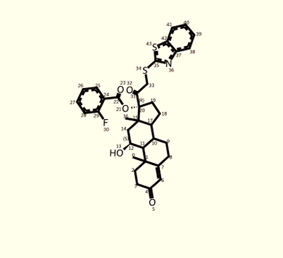 CC12CCC(=O)C=C1CCC1C2[C@@H](O)CC2(C)C1CC[C@]2(OC(=O)c1ccccc1F)C(=O)CSc1nc2ccccc2s1